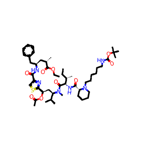 CCOC(=O)[C@@H](C)C[C@H](Cc1ccccc1)NC(=O)c1csc([C@@H](C[C@H](C(C)C)N(C)C(=O)[C@@H](NC(=O)[C@H]2CCCCN2CCCCCCNC(=O)OC(C)(C)C)[C@@H](C)CC)OC(C)=O)n1